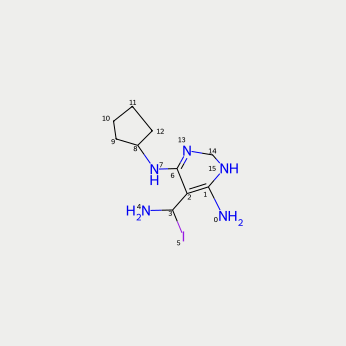 NC1=C(C(N)I)C(NC2CCCC2)=NCN1